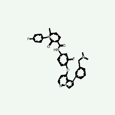 Cc1ccc(C(=O)Nc2ccc(Oc3ccnn4ccc(-c5cccc(CN(C)C)c5)c34)c(F)c2)c(=O)n1-c1ccc(F)cc1